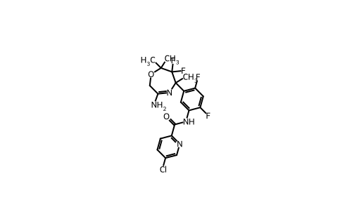 CC1(C)OCC(N)=NC(C)(c2cc(NC(=O)c3ccc(Cl)cn3)c(F)cc2F)C1(F)F